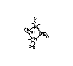 C=C(SC=O)C1=C(CC)c2nc1cc1[nH]c(cc(C(=C)C(C)/C=C\C3SC3=O)nc(C)cc3[nH]c(n2)c2c3C3C(=O)SC2C3C)=C2C3C=CC4C(=O)S=1243